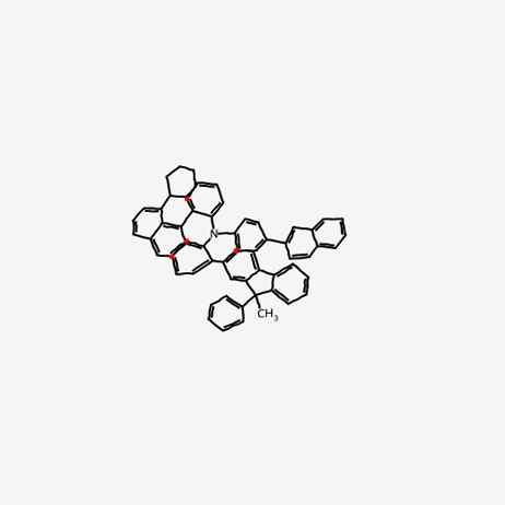 CC1(c2ccccc2)c2ccccc2-c2ccc(-c3ccccc3N(c3ccc(-c4ccc5ccccc5c4)cc3)c3ccccc3-c3cccc4cccc(C5CCCCC5)c34)cc21